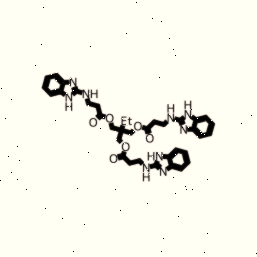 CCC(COC(=O)CCNc1nc2ccccc2[nH]1)(COC(=O)CCNc1nc2ccccc2[nH]1)COC(=O)CCNc1nc2ccccc2[nH]1